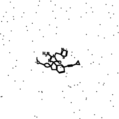 NC1=NC2(C(=O)N1Cc1nccs1)c1cc(C#CC3CC3)ccc1CC21CCC(OI)CC1